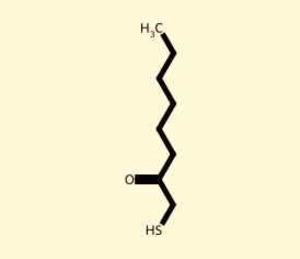 CCCCCCC(=O)CS